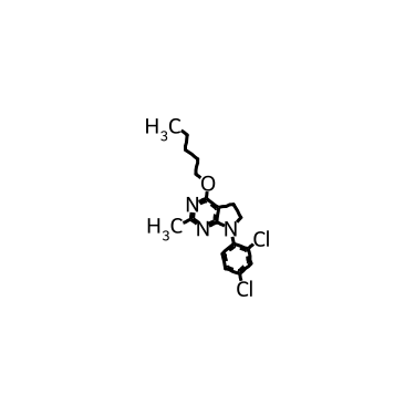 CCCCCOc1nc(C)nc2c1CCN2c1ccc(Cl)cc1Cl